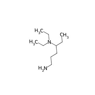 CCC(CCCN)N(CC)CC